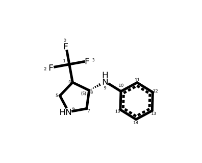 FC(F)(F)C1CNC[C@H]1Nc1ccccc1